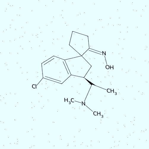 CC([C@@H]1CC2(CCC/C2=N/O)c2ccc(Cl)cc21)N(C)C